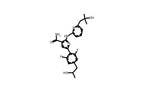 CC(O)Cc1cc(F)c(-c2cc(C(N)=O)c(Nc3cccc(CC(C)(C)O)n3)s2)c(F)c1